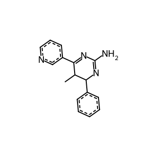 CC1C(c2cccnc2)=NC(N)=NC1c1ccccc1